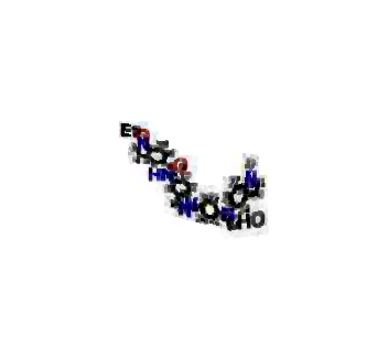 CCOn1ccc2cc(C(=O)Nc3ccc4c(cnn4-c4ccc(N(C=O)c5ccc6c(ccn6C)c5)cc4)c3)ccc21